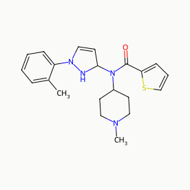 Cc1ccccc1N1C=CC(N(C(=O)c2cccs2)C2CCN(C)CC2)N1